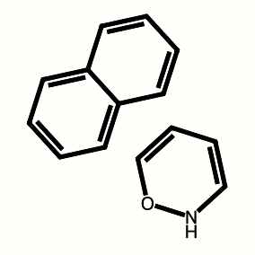 C1=CNOC=C1.c1ccc2ccccc2c1